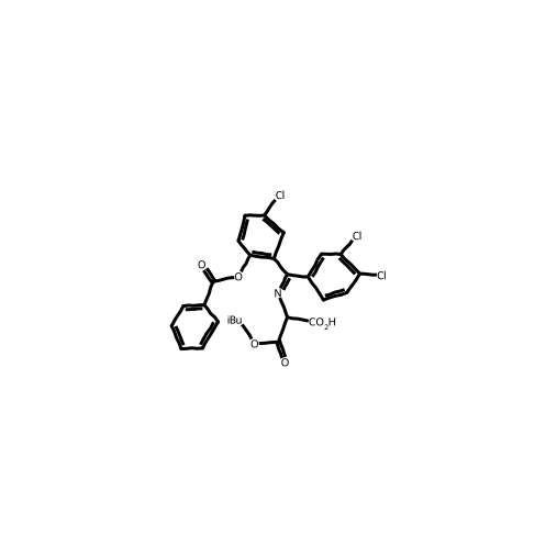 CCC(C)OC(=O)C(N=C(c1ccc(Cl)c(Cl)c1)c1cc(Cl)ccc1OC(=O)c1ccccc1)C(=O)O